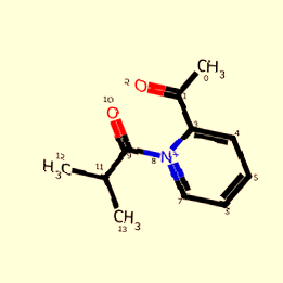 CC(=O)c1cccc[n+]1C(=O)C(C)C